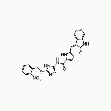 O=C1Nc2ccccc2/C1=C/c1ccc(C(=O)Nc2nnc(SCc3ccccc3[N+](=O)[O-])[nH]2)[nH]1